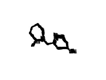 C[C@H]1CCCCN1Cc1cc(C(C)(C)C)ccn1